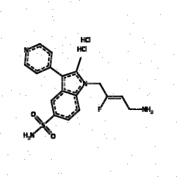 Cc1c(-c2ccncc2)c2cc(S(N)(=O)=O)ccc2n1CC(F)=CCN.Cl.Cl